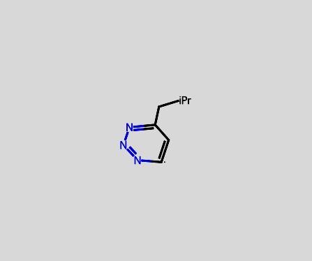 CC(C)Cc1c[c]nnn1